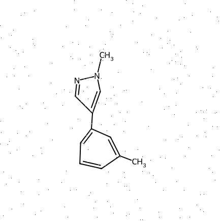 Cc1cccc(-c2cnn(C)c2)c1